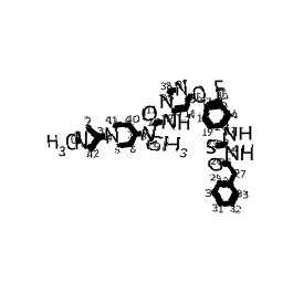 CN1CC(N2CCC(N(C)C(=O)Nc3cc(Oc4ccc(NC(=S)NC(=O)Cc5ccccc5)cc4F)ncn3)CC2)C1